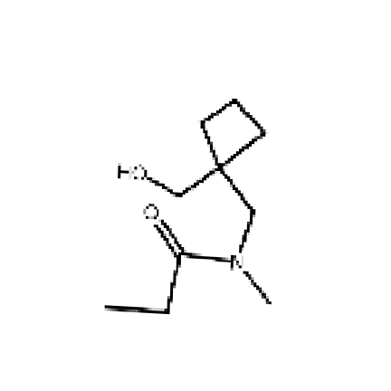 CCC(=O)N(C)CC1(CO)CCC1